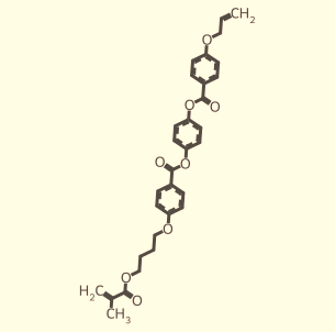 C=CCOc1ccc(C(=O)Oc2ccc(OC(=O)c3ccc(OCCCCOC(=O)C(=C)C)cc3)cc2)cc1